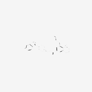 CN1CCCc2cc(C(=O)CCN3CCC(c4noc5cc(F)ccc45)CC3)cc(CCC=O)c21